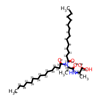 CCCCCCCCCCCCCC(=O)N(C(=O)CCCCCCCCCCCCC)[C@@H](C)C(=O)N[C@@H](C)C(=O)O